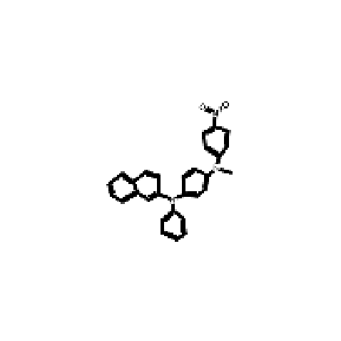 CN(c1ccc(N(c2ccccc2)c2ccc3ccccc3c2)cc1)c1ccc([N+](=O)[O-])cc1